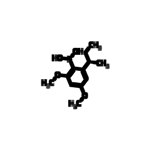 CC[C@@H](C)c1cc(OC)cc(OC)c1B(O)O